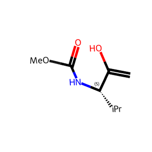 C=C(O)[C@@H](NC(=O)OC)C(C)C